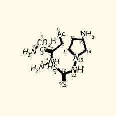 CC(=O)CC(=O)NN.N.NC(=O)O.S=C(S)NN1CCCC1